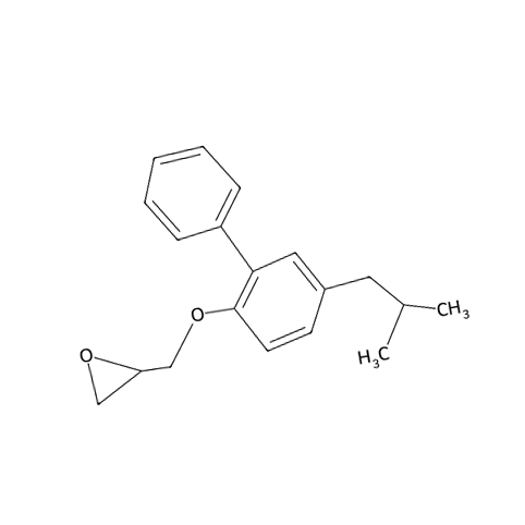 CC(C)Cc1ccc(OCC2CO2)c(-c2ccccc2)c1